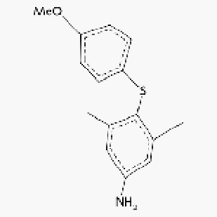 COc1ccc(Sc2c(C)cc(N)cc2C)cc1